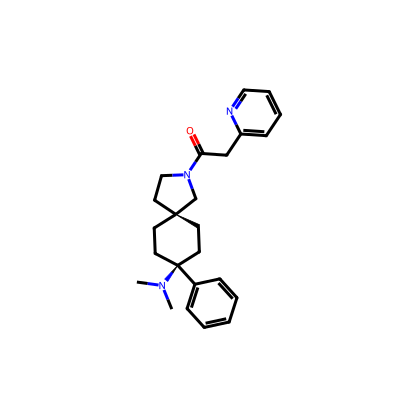 CN(C)[C@]1(c2ccccc2)CC[C@]2(CCN(C(=O)Cc3ccccn3)C2)CC1